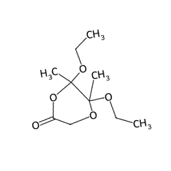 CCOC1(C)OCC(=O)OC1(C)OCC